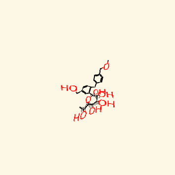 COCc1ccc(Cc2ccc(CO)cc2[C@@]2(O)O[C@H]([C@H](C)O)[C@@H](O)[C@H](O)[C@H]2O)cc1